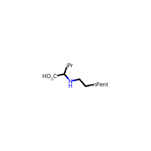 CCCCCCCNC(C(=O)O)C(C)C